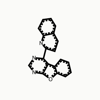 c1ccc2nc(-c3ncnc4oc5ccccc5c34)ccc2c1